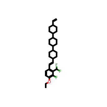 C=CC1CCC(C2CCC(C3CCC(/C=C/c4ccc(OCC)c(F)c4C(F)F)CC3)CC2)CC1